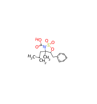 C=C(C)CC1(C)C(Cc2ccccc2)OS(=O)(=O)N1C(=O)O